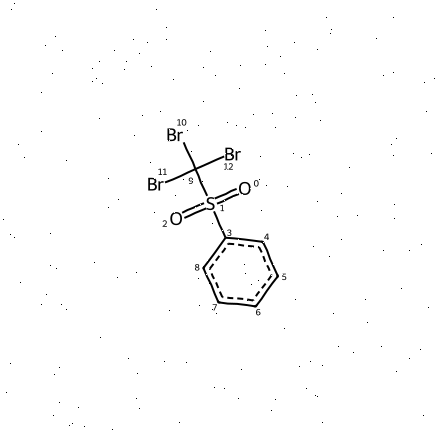 O=S(=O)(c1ccccc1)C(Br)(Br)Br